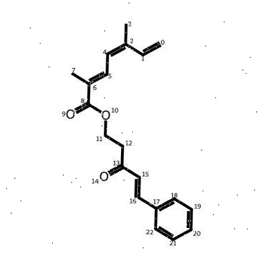 C=CC(C)=CC=C(C)C(=O)OCCC(=O)/C=C/c1ccccc1